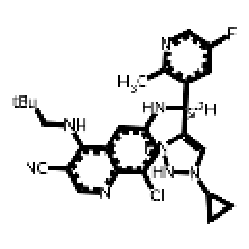 [2H][C@@](Nc1cc(Cl)c2ncc(C#N)c(NCC(C)(C)C)c2c1)(C1=CN(C2CC2)NN1)c1cc(F)cnc1C